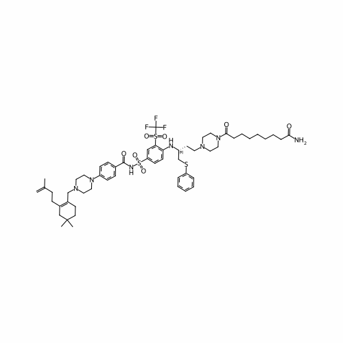 C=C(C)CCC1=C(CN2CCN(c3ccc(C(=O)NS(=O)(=O)c4ccc(N[C@H](CCN5CCN(C(=O)CCCCCCCC(N)=O)CC5)CSc5ccccc5)c(S(=O)(=O)C(F)(F)F)c4)cc3)CC2)CCC(C)(C)C1